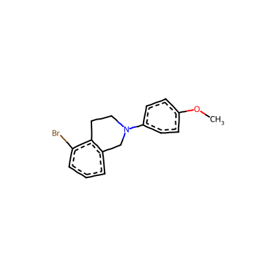 COc1ccc(N2CCc3c(Br)cccc3C2)cc1